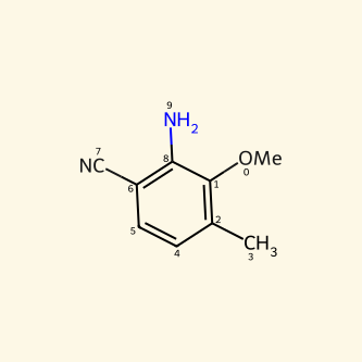 COc1c(C)ccc(C#N)c1N